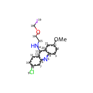 COc1ccc2nc3cc(Cl)ccc3c(NCCOCI)c2c1